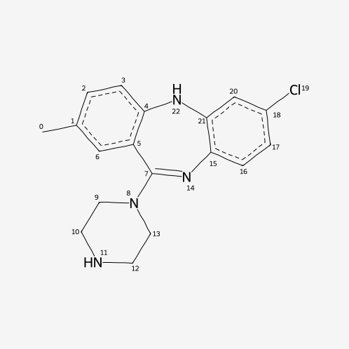 Cc1ccc2c(c1)C(N1CCNCC1)=Nc1ccc(Cl)cc1N2